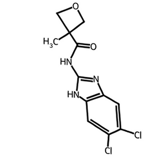 CC1(C(=O)Nc2nc3cc(Cl)c(Cl)cc3[nH]2)COC1